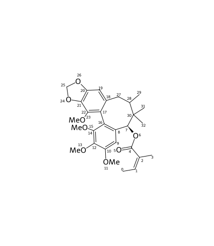 C/C=C(/C)C(=O)O[C@H]1c2cc(OC)c(OC)c(OC)c2-c2c(cc3c(c2OC)OCO3)CC(C)C1(C)C